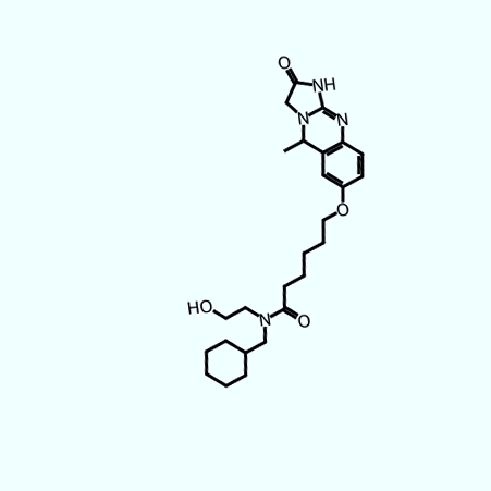 CC1c2cc(OCCCCCC(=O)N(CCO)CC3CCCCC3)ccc2N=C2NC(=O)CN21